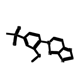 COc1cc(S(C)(=O)=O)ccc1-n1ccc2ncnc-2n1